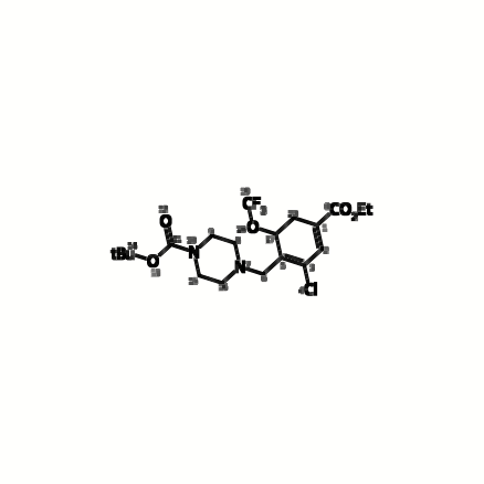 CCOC(=O)C1=CC(Cl)=C(CN2CCN(C(=O)OC(C)(C)C)CC2)C(OC(F)(F)F)C1